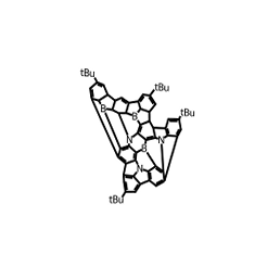 CC(C)(C)C1=CC2C3B4c5c6c7c8c(c5C3=C1)c1cc(C(C)(C)C)cc3c5cc9c%10cc(C(C)(C)C)cc%11c%10n%10c9c(c5n8c31)B7C1=C%10C%11C3C5=C1N6C1C6B5C5C(=CC(C(C)(C)C)=CC53)C6=CC2C41